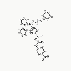 C[C@H](OC(=O)Oc1ccc([N+](=O)[O-])cc1)C(=O)N[C@@H]1C(=O)N(CCOCc2ccccc2)c2ccccc2-c2ccccc21